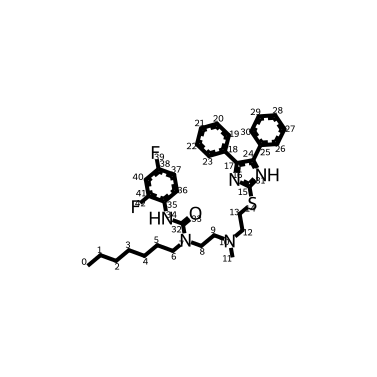 CCCCCCCN(CCN(C)CCSc1nc(-c2ccccc2)c(-c2ccccc2)[nH]1)C(=O)Nc1ccc(F)cc1F